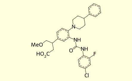 COCC(CC(=O)O)c1ccc(N2CCC(c3ccccc3)CC2)c(NC(=O)Nc2ccc(Cl)cc2F)c1